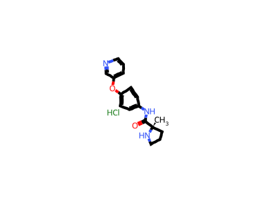 C[C@]1(C(=O)Nc2ccc(Oc3cccnc3)cc2)CCCN1.Cl